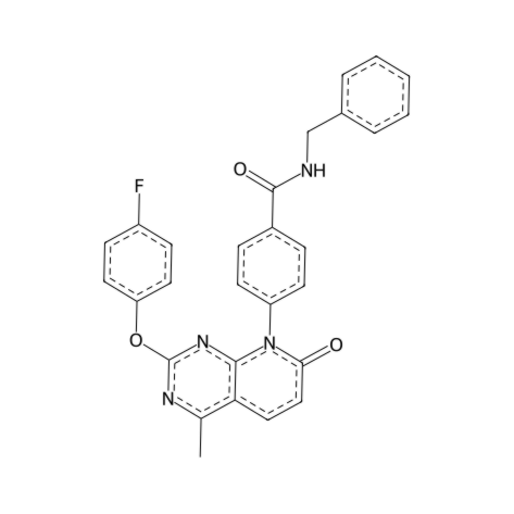 Cc1nc(Oc2ccc(F)cc2)nc2c1ccc(=O)n2-c1ccc(C(=O)NCc2ccccc2)cc1